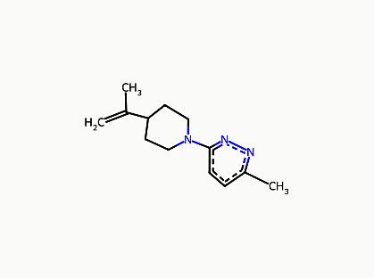 C=C(C)C1CCN(c2ccc(C)nn2)CC1